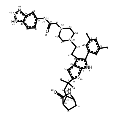 Cc1cc(C)cc(-c2[nH]c3sc(C(C)(C)CC4C5CCC4C(=O)N5)cc3c2CCN2CCN(CC(=O)Nc3ccc4[nH]nnc4c3)CC2)c1